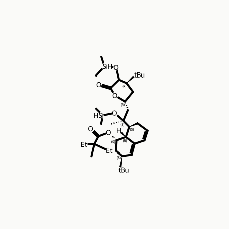 CCC(C)(CC)C(=O)O[C@H]1C[C@H](C(C)(C)C)C=C2C=CC[C@H]([C@](C)(C[C@H]3C[C@H](C(C)(C)C)C(O[SiH](C)C)C(=O)O3)O[SiH](C)C)[C@H]21